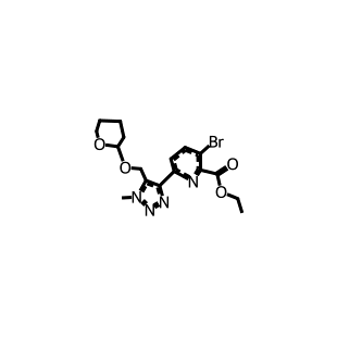 CCOC(=O)c1nc(-c2nnn(C)c2COC2CCCCO2)ccc1Br